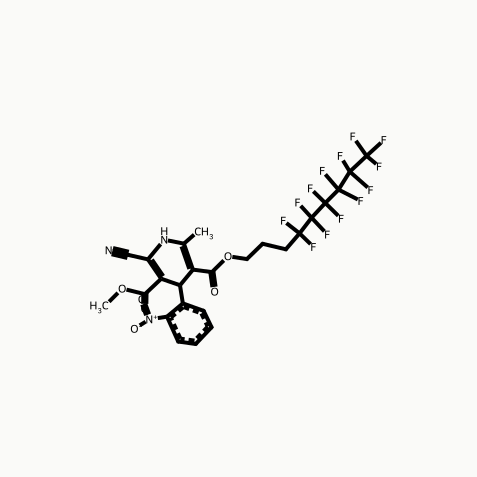 COC(=O)C1=C(C#N)NC(C)=C(C(=O)OCCCC(F)(F)C(F)(F)C(F)(F)C(F)(F)C(F)(F)C(F)(F)F)C1c1ccccc1[N+](=O)[O-]